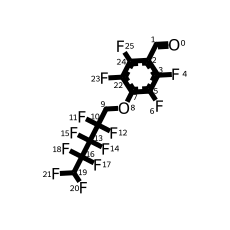 O=Cc1c(F)c(F)c(OCC(F)(F)C(F)(F)C(F)(F)C(F)F)c(F)c1F